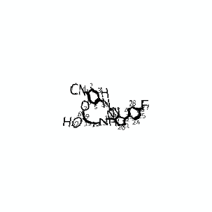 [C-]#[N+]c1ccc2cc1OCC(O)CCNc1nc(nc3c1CCC3c1ccc(F)cc1)N2